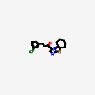 O=C(CCc1cccc(Cl)c1)c1cnc2sc3c(n12)CCCCC3